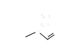 COC=O.[NaH].[NaH]